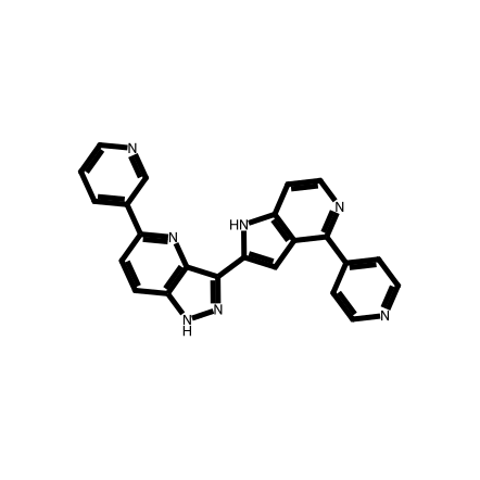 c1cncc(-c2ccc3[nH]nc(-c4cc5c(-c6ccncc6)nccc5[nH]4)c3n2)c1